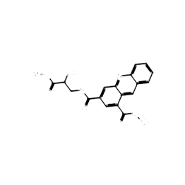 COC(=O)C(O)CNC(=O)c1cc(C(=O)OC(C)(C)C)c2cc3ccccc3nc2c1